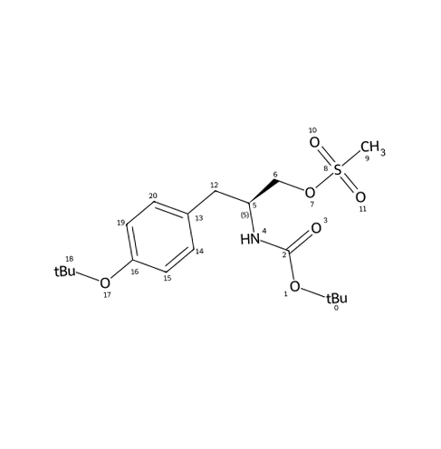 CC(C)(C)OC(=O)N[C@H](COS(C)(=O)=O)Cc1ccc(OC(C)(C)C)cc1